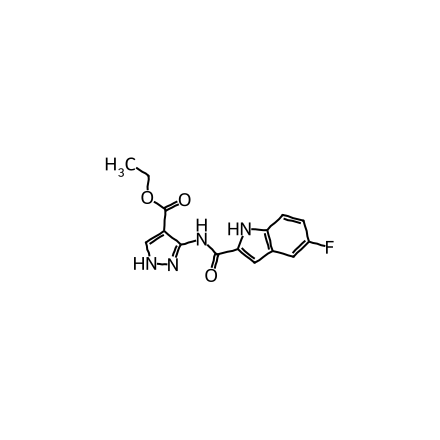 CCOC(=O)c1c[nH]nc1NC(=O)c1cc2cc(F)ccc2[nH]1